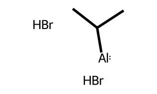 Br.Br.C[CH](C)[Al]